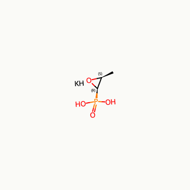 C[C@@H]1O[C@@H]1P(=O)(O)O.[KH]